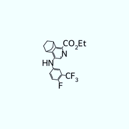 CCOC(=O)c1ncc(Nc2ccc(F)c(C(F)(F)F)c2)c2c1C1CCC2CC1